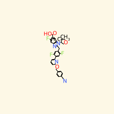 CC1(C)COC[C@H]1n1c(Cc2cc(F)c(-c3cccc(OCc4ccc(C#N)cc4)n3)cc2F)nc2cc(F)c(C(=O)O)cc21